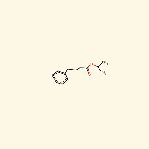 CC(C)OC(=O)CCCc1ccccc1